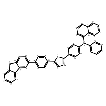 c1ccc(N(c2ccc(-c3ccc(-c4ccc(-c5ccc6oc7ccccc7c6c5)cc4)s3)cc2)c2cccc3ccccc23)cc1